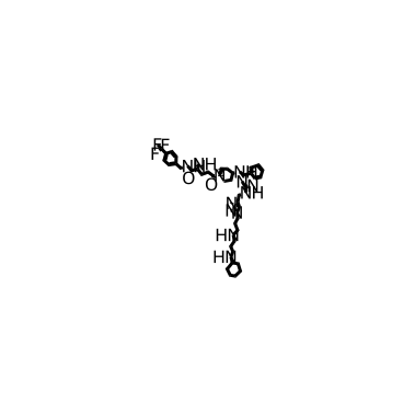 NC(CCC(=O)N1CCC(Nc2nc(NCc3cn(CCCNCCCNC4CCCCC4)nn3)nc3ccccc23)CC1)C(=O)NCc1ccc(C(F)(F)F)cc1